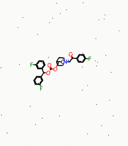 O=C(OC(c1cccc(F)c1)c1cccc(F)c1)OC1C[N+]2(CC(=O)c3ccc(F)cc3)CCC1CC2